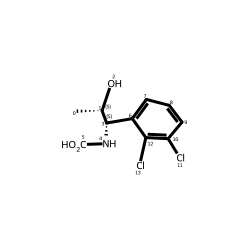 C[C@H](O)[C@@H](NC(=O)O)c1cccc(Cl)c1Cl